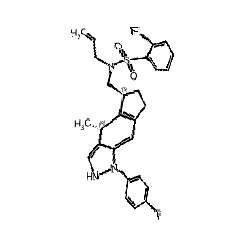 C=CCN(C[C@H]1CCC2=C1[C@@H](C)C1=CNN(c3ccc(F)cc3)C1=C2)S(=O)(=O)c1ccccc1F